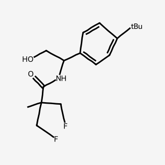 CC(CF)(CF)C(=O)NC(CO)c1ccc(C(C)(C)C)cc1